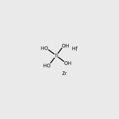 [Hf].[OH][Ti]([OH])([OH])[OH].[Zr]